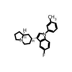 Cc1cccc(-n2cc([C@@H]3CCN4CCC[C@H]4C3)c3cc(F)ccc32)c1